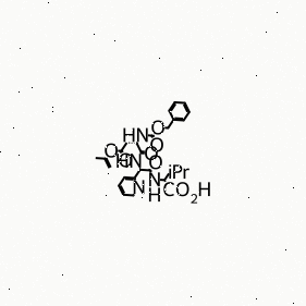 C=C(C)OC(=O)C[C@H](NC(=O)OCc1ccccc1)C(=O)NC(C(=O)N[C@H](C(=O)O)C(C)C)c1ccccn1